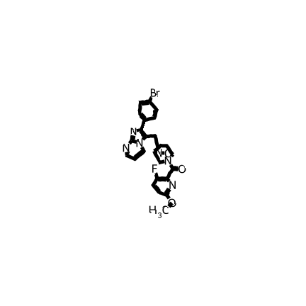 COc1ccc(F)c(C(=O)N2CC3CCC2CN3Cc2c(-c3ccc(Br)cc3)nc3ncccn23)n1